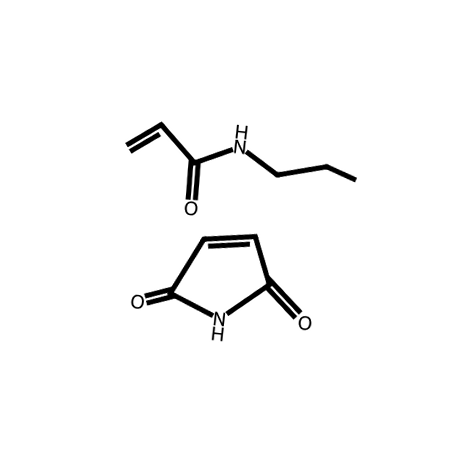 C=CC(=O)NCCC.O=C1C=CC(=O)N1